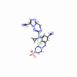 CS(=O)(=O)N1CCN(Cc2cc(C#N)cc(N(c3ncc4ncc(C#N)n4n3)C3CC3)c2Cl)CC1